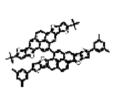 Cc1cc(C)cc(-c2cc3oc4c(cc5cc(-c6cc7c8oc9cc(C(C)(C)C)oc9c8cc8ccc9c%10oc%11cc(C(C)(C)C)oc%11c%10cc6c9c87)c6c7oc8cc(-c9cc(C)cc(C)c9)sc8c7cc7ccc4c5c76)c3s2)c1